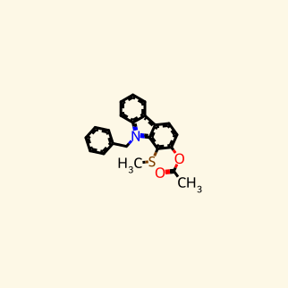 CSc1c(OC(C)=O)ccc2c3ccccc3n(Cc3ccccc3)c12